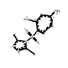 Cc1nnc(C)n1S(=O)(=O)c1ccc(O)cc1O